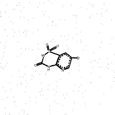 O=C1Nc2ncc(Br)cc2S(=O)(=O)N1